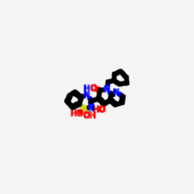 O=c1c(C2=NS(O)(O)c3ccccc3N2)c(O)c2cccnc2n1CC1CCCCC1